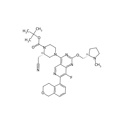 CN1CCC[C@H]1COc1nc(N2CCN(C(=O)OC(C)(C)C)[C@@H](CC#N)C2)c2cnc(-c3cccc4c3CCOC4)c(F)c2n1